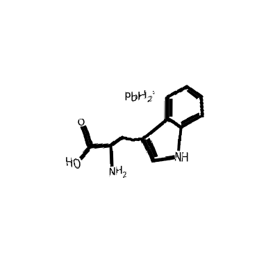 NC(Cc1c[nH]c2ccccc12)C(=O)O.[PbH2]